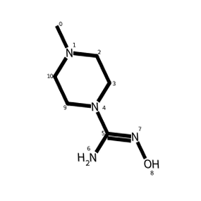 CN1CCN(C(N)=NO)CC1